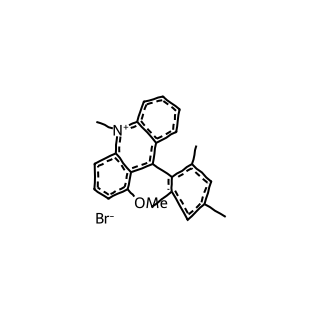 COc1cccc2c1c(-c1c(C)cc(C)cc1C)c1ccccc1[n+]2C.[Br-]